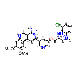 COc1cc2ncc3c(N)nc(-c4cncc(OC[C@@H](N)CN(C)c5cccc(Cl)c5)c4)cc3c2cc1OC